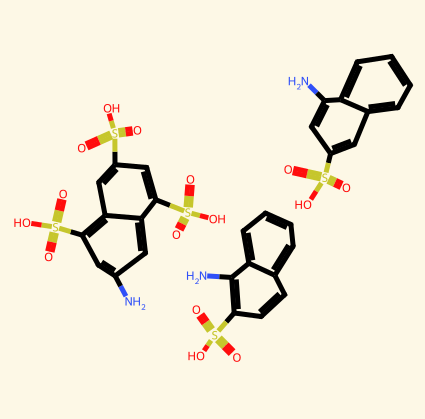 Nc1c(S(=O)(=O)O)ccc2ccccc12.Nc1cc(S(=O)(=O)O)c2cc(S(=O)(=O)O)cc(S(=O)(=O)O)c2c1.Nc1cc(S(=O)(=O)O)cc2ccccc12